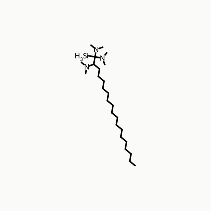 CCCCCCCCCCCCCCCCCC(N(C)C)C([SiH3])(N(C)C)N(C)C